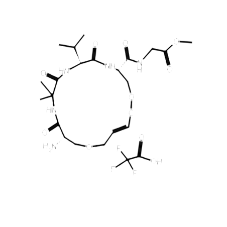 COC(=O)CNC(=O)[C@@H]1COC/C=C/COC[C@H](N)C(=O)NC(C)(C)C(=O)N[C@@H](C(C)C)C(=O)N1.O=C(O)C(F)(F)F